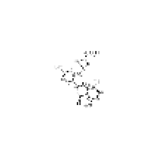 O=C(O)C1CC(Oc2cc(Br)ccc2-c2cc(=O)c3c(O)ccc(Cl)c3o2)C1